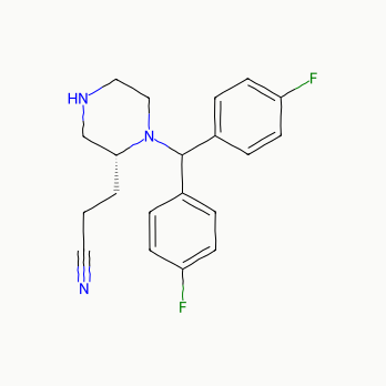 N#CCC[C@@H]1CNCCN1C(c1ccc(F)cc1)c1ccc(F)cc1